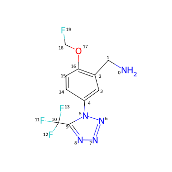 NCc1cc(-n2nnnc2C(F)(F)F)ccc1OCF